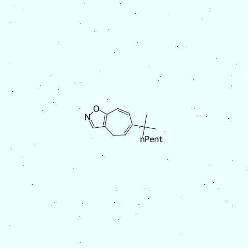 CCCCCC(C)(C)C1=CCc2cnoc2C=C1